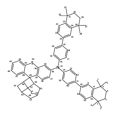 CC1(C)CCC(C)(C)c2cc(-c3ccc(N(c4ccc(-c5ccc6c(c5)C(C)(C)CCC6(C)C)cc4)c4ccc5c(c4)Sc4ccccc4C54C5CC6CC7CC4C75C6)cc3)ccc21